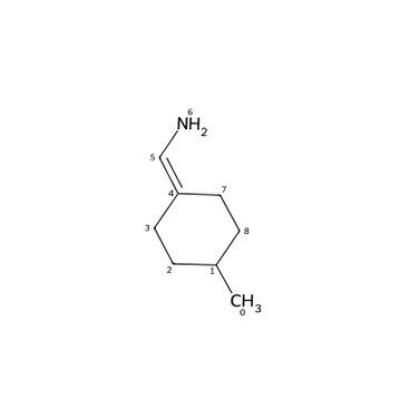 CC1CCC(=CN)CC1